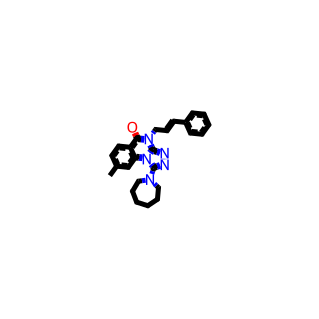 Cc1ccc2c(=O)n(CC=Cc3ccccc3)c3nnc(N4CCCCCC4)n3c2c1